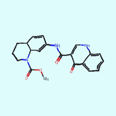 CC(C)(C)OC(=O)N1CCCC2C=CC(NC(=O)c3c[nH]c4ccccc4c3=O)=CC21